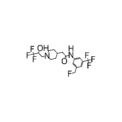 O=C(CC1CCN(CC(O)C(F)(F)F)CC1)Nc1cc(CF)cc(C(F)(F)F)c1